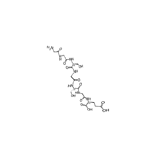 NCC(=O)NCC(=O)N[C@@H](CO)C(=O)NCC(=O)N[C@@H](CO)C(=O)NCC(=O)N[C@@H](CCC(=O)O)C(=O)O